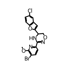 COc1nc(C2=NOCC(c3cc4cc(Cl)ccc4o3)N2)ccc1Br